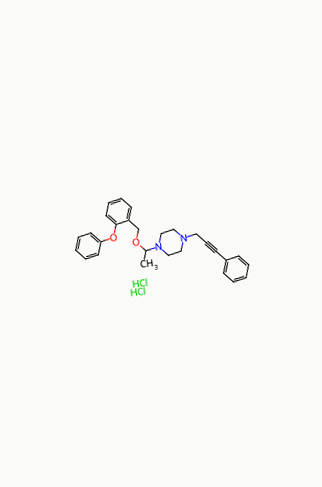 CC(OCc1ccccc1Oc1ccccc1)N1CCN(CC#Cc2ccccc2)CC1.Cl.Cl